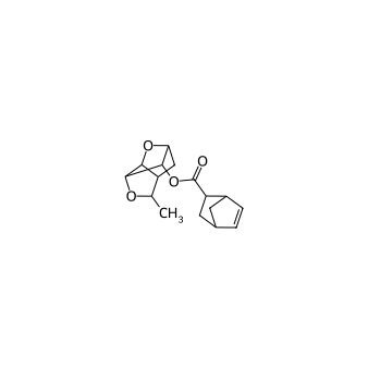 CC1OC2C(OC(=O)C3CC4C=CC3C4)C3CC1C2O3